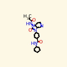 C=CC(=O)Nn1c(=O)n(-c2ccc(C(=O)Nc3ccccc3)cc2)c2cnccc21